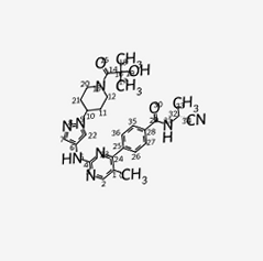 Cc1cnc(Nc2cnn(C3CCN(C(=O)C(C)(C)O)CC3)c2)nc1-c1ccc(C(=O)N[C@H](C)C#N)cc1